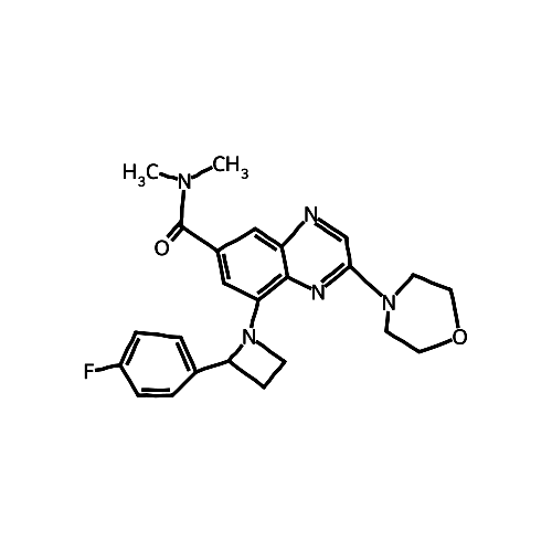 CN(C)C(=O)c1cc(N2CCC2c2ccc(F)cc2)c2nc(N3CCOCC3)cnc2c1